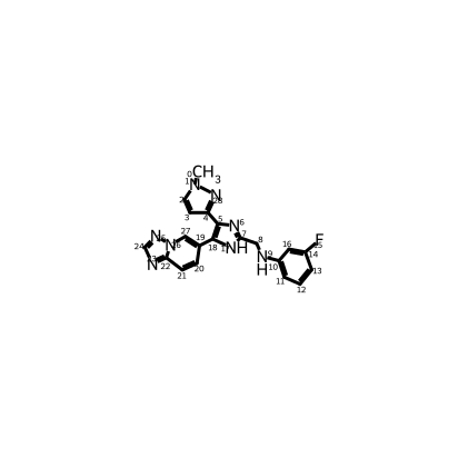 Cn1ccc(-c2nc(CNc3cccc(F)c3)[nH]c2-c2ccc3ncnn3c2)n1